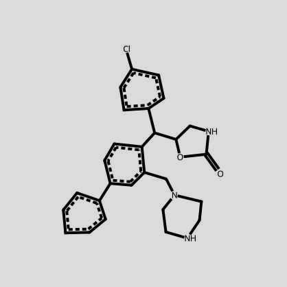 O=C1NCC(C(c2ccc(Cl)cc2)c2ccc(-c3ccccc3)cc2CN2CCNCC2)O1